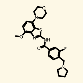 COc1ccc(N2CCOCC2)c2sc(NC(=O)c3ccc(CN4CCCC4)c(F)c3)nc12